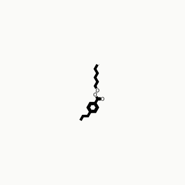 [CH2]CCCCCOOC(=O)c1ccc(CCC)cc1